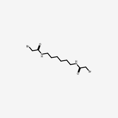 O=C(CBr)NCCCCCCNC(=O)CBr